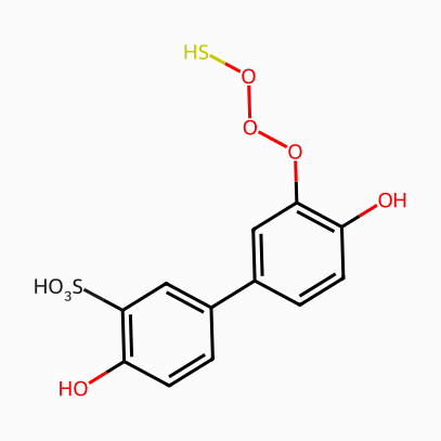 O=S(=O)(O)c1cc(-c2ccc(O)c(OOOS)c2)ccc1O